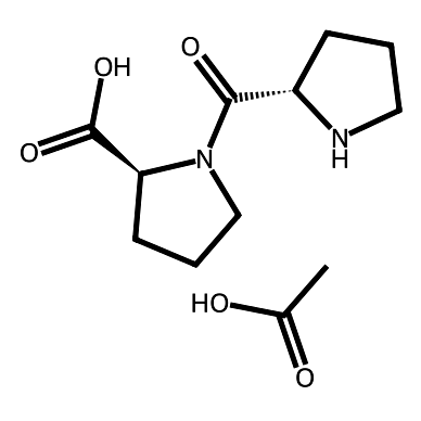 CC(=O)O.O=C(O)[C@@H]1CCCN1C(=O)[C@@H]1CCCN1